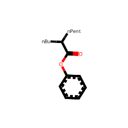 CCCCCC(CCCC)C(=O)Oc1ccccc1